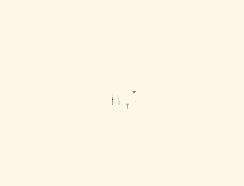 CC(OC=O)n1ccc(F)c1F